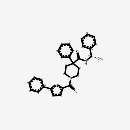 C[C@H](NC(=O)C1(c2ccccc2)CCN(C(=O)c2ccc(-c3ccccc3)s2)CC1)c1ccccc1